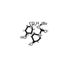 CC(C)(C)OC(=O)N1CCC(=O)CC1.O=C(O)N1CCC(O)CC1